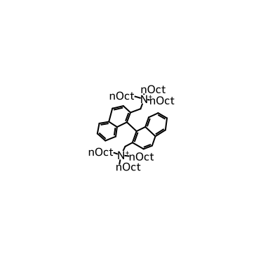 CCCCCCCC[N+](CCCCCCCC)(CCCCCCCC)Cc1ccc2ccccc2c1-c1c(C[N+](CCCCCCCC)(CCCCCCCC)CCCCCCCC)ccc2ccccc12